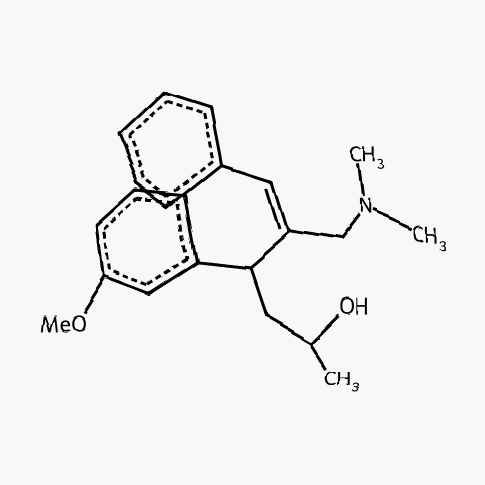 COc1cccc(C(CC(C)O)/C(=C\c2ccccc2)CN(C)C)c1